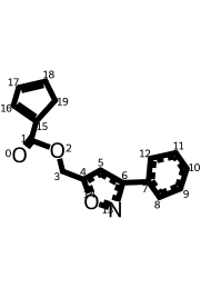 O=C(OCc1cc(-c2ccccc2)no1)C1=CC=CC1